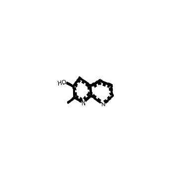 Cc1nc2ncccc2cc1O